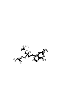 CC(=O)OCC(F)(CCn1cnc2c(Cl)nc(N)nc21)COC(C)=O